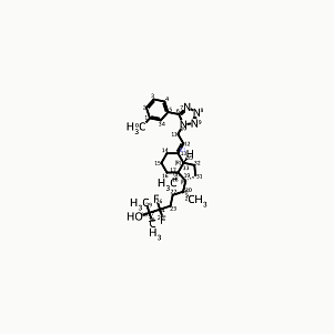 Cc1cccc(-c2nnnn2C/C=C2\CCC[C@]3(C)[C@@H]([C@H](C)CCC(F)(F)C(C)(C)O)CC[C@@H]23)c1